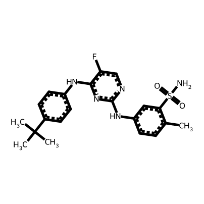 Cc1ccc(Nc2ncc(F)c(Nc3ccc(C(C)(C)C)cc3)n2)cc1S(N)(=O)=O